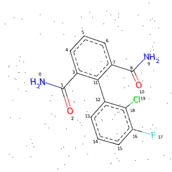 NC(=O)c1cccc(C(N)=O)c1-c1cccc(F)c1Cl